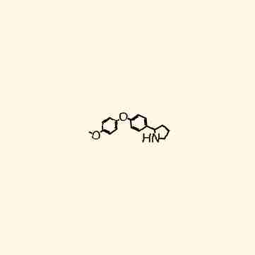 COc1ccc(Oc2ccc(C3CCCN3)cc2)cc1